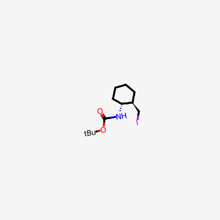 CC(C)(C)OC(=O)N[C@@H]1CCCC[C@H]1CI